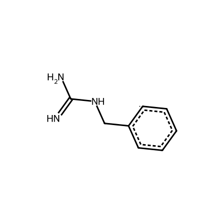 N=C(N)NCc1[c]cccc1